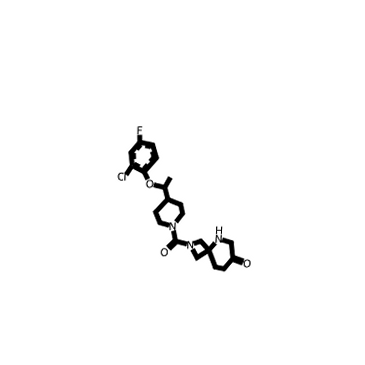 CC(Oc1ccc(F)cc1Cl)C1CCN(C(=O)N2CC3(CCC(=O)CN3)C2)CC1